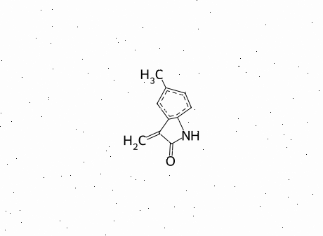 C=C1C(=O)Nc2ccc(C)cc21